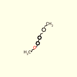 C=CCCOCc1ccc(-c2ccc(CC[C@H]3CC[C@H](CC=C)CC3)cc2)cc1